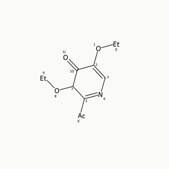 CCOC1=CN=C(C(C)=O)C(OCC)C1=O